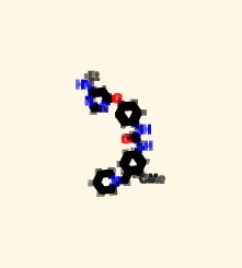 CCNc1cc(Oc2ccc(NC(=O)Nc3ccc(CN4CCCCC4)c(OC)c3)cc2)ncn1